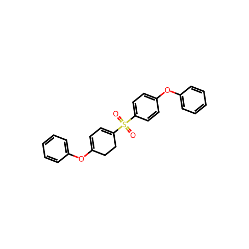 O=S(=O)(C1=CC=C(Oc2ccccc2)CC1)c1ccc(Oc2ccccc2)cc1